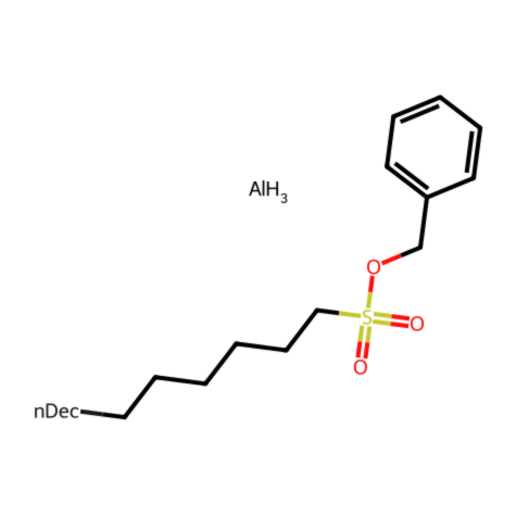 CCCCCCCCCCCCCCCCS(=O)(=O)OCc1ccccc1.[AlH3]